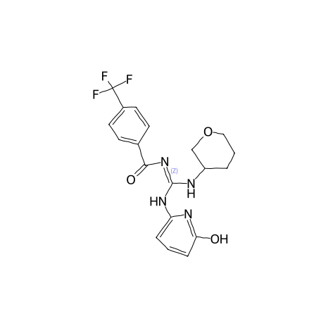 O=C(/N=C(\Nc1cccc(O)n1)NC1CCCOC1)c1ccc(C(F)(F)F)cc1